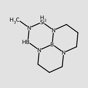 CN1BN2CCCN3CCCN([SiH2]1)B23